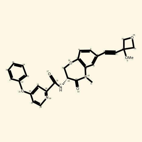 COC1(C#Cc2ccc3c(c2)N(C)C(=O)[C@H](NC(=O)c2cc(Oc4ccccc4)ccn2)CO3)COC1